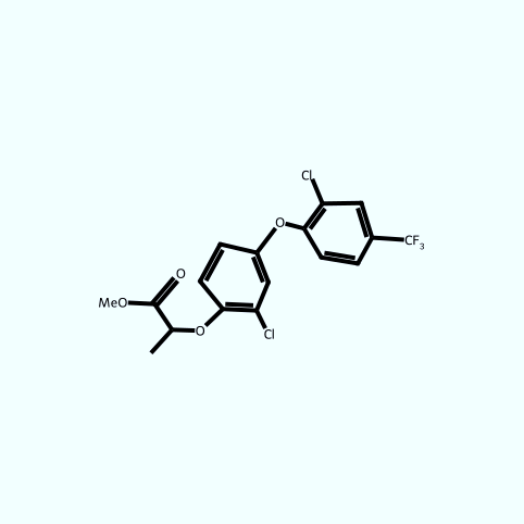 COC(=O)C(C)Oc1ccc(Oc2ccc(C(F)(F)F)cc2Cl)cc1Cl